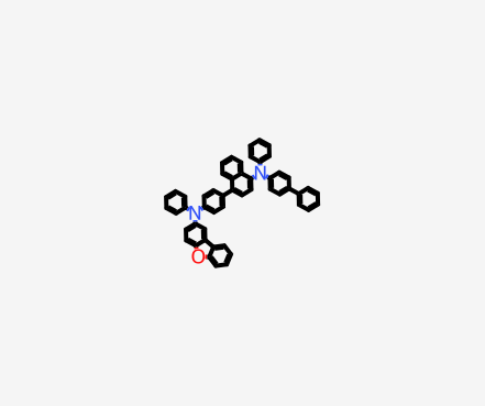 c1ccc(-c2ccc(N(c3ccccc3)c3ccc(-c4ccc(N(c5ccccc5)c5ccc6oc7ccccc7c6c5)cc4)c4ccccc34)cc2)cc1